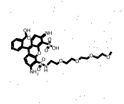 COCCOCCOCCOCCNS(=O)(=O)c1c(N)ccc2c(-c3ccccc3C(=O)O)c3ccc(=N)c(S(=O)(=O)O)c-3oc12